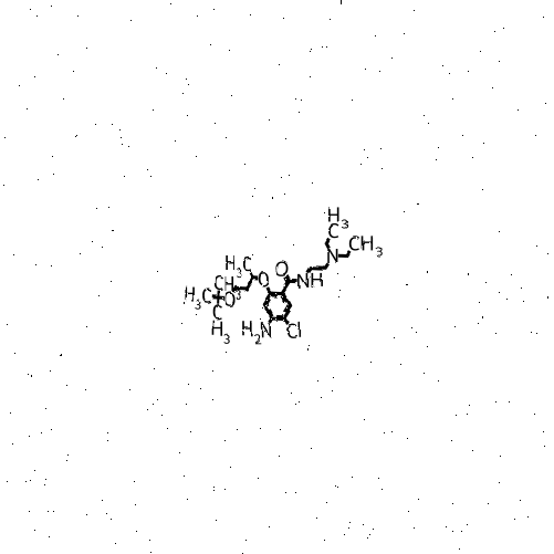 CCN(CC)CCNC(=O)c1cc(Cl)c(N)cc1OC(C)CCOC(C)(C)C